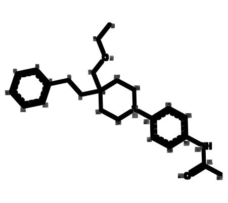 CCOCC1(CCc2ccccc2)CCN(c2ccc(NC(C)=O)cc2)CC1